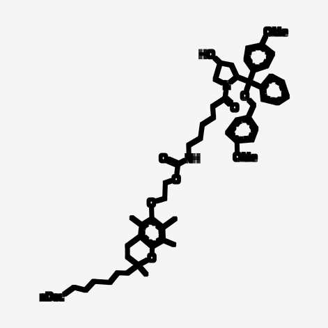 CCCCCCCCCCCCCCCCC1(C)CCc2c(C)c(OCCOC(=O)NCCCCCC(=O)N3CC(O)CC3C(OCc3ccc(OC)cc3)(c3ccccc3)c3ccc(OC)cc3)c(C)c(C)c2O1